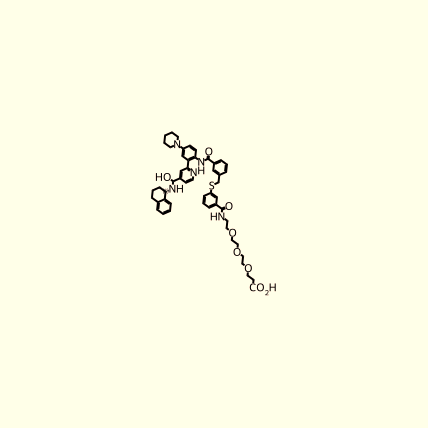 O=C(O)CCOCCOCCOCCNC(=O)c1cccc(SCc2cccc(C(=O)Nc3ccc(N4CCCCC4)cc3-c3cc(C(O)N[C@H]4CCCc5ccccc54)ccn3)c2)c1